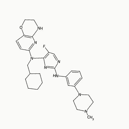 CN1CCN(c2cccc(Nc3ncc(F)c(N(CC4CCCCC4)c4ccc5c(n4)NCCO5)n3)c2)CC1